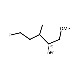 CCC[C@@H](COC)C(C)CCF